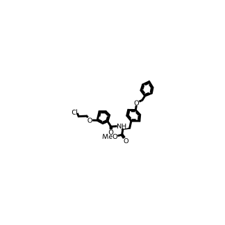 COC(=O)[C@H](Cc1ccc(OCc2ccccc2)cc1)NC(=O)c1cccc(OCCCl)c1